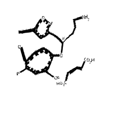 Cc1cc([C@@H](CCN)Oc2cc(Cl)c(F)cc2C#N)no1.O=C(O)C=CC(=O)O